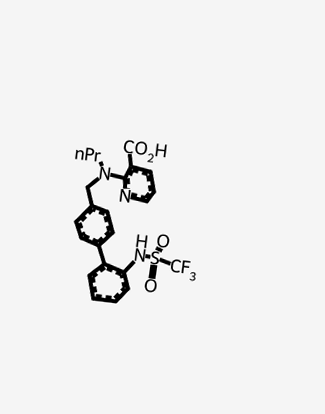 CCCN(Cc1ccc(-c2ccccc2NS(=O)(=O)C(F)(F)F)cc1)c1ncccc1C(=O)O